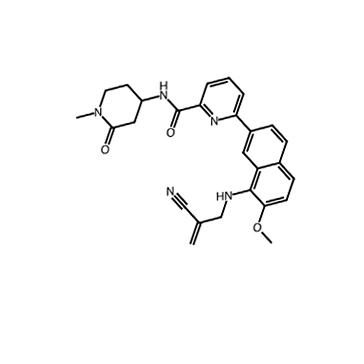 C=C(C#N)CNc1c(OC)ccc2ccc(-c3cccc(C(=O)NC4CCN(C)C(=O)C4)n3)cc12